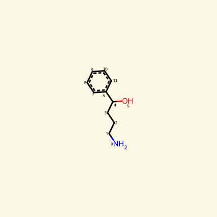 NCCCC(O)c1ccccc1